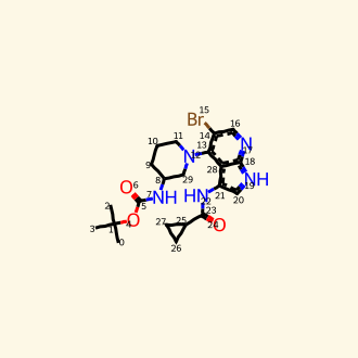 CC(C)(C)OC(=O)NC1CCCN(c2c(Br)cnc3[nH]cc(NC(=O)C4CC4)c23)C1